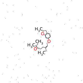 CCC(=CCOc1ccc2c(c1)OC(C)C2)CCC1OC1(C)CC